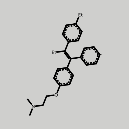 CCC(=C(c1cc[c]cc1)c1ccc(OCCN(C)C)cc1)c1ccc(CC)cc1